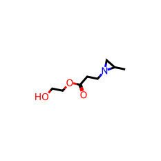 CC1CN1CCC(=O)OCCO